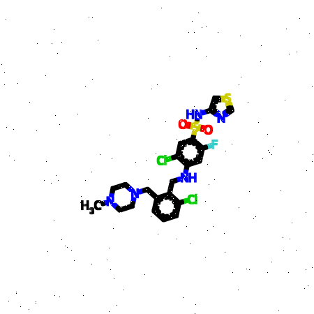 CN1CCN(Cc2cccc(Cl)c2CNc2cc(F)c(S(=O)(=O)Nc3cscn3)cc2Cl)CC1